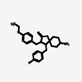 CCOc1ccc(CN2C(=O)CC3(CCN(C)CC3)N2Cc2ccc(F)cc2)cc1